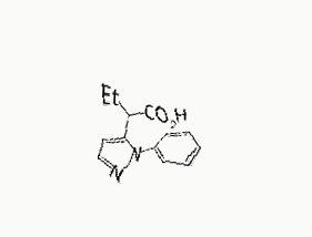 CCC(C(=O)O)c1ccnn1-c1ccccc1